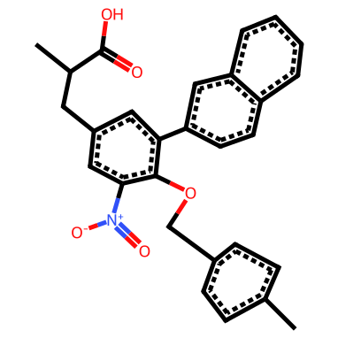 Cc1ccc(COc2c(-c3ccc4ccccc4c3)cc(CC(C)C(=O)O)cc2[N+](=O)[O-])cc1